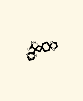 NC(=O)C1(c2cnccn2)CC2(CCC3(CC2)OCCO3)C1